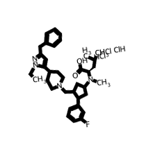 CCn1nc(Cc2ccccc2)cc1C1CCN(CC2CC(N(C)[C@H](CC(C)C)C(=O)O)CC2c2cccc(F)c2)CC1.Cl.Cl.Cl